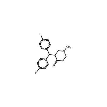 CN1CCC(=O)C(C(c2ccc(F)cc2)c2ccc(F)cc2)C1